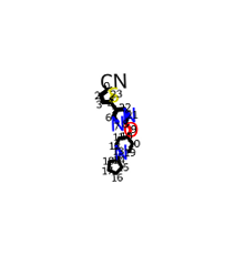 N#Cc1ccc(-c2cnc(OC3CCN(C4CCCC4)CC3)nc2)s1